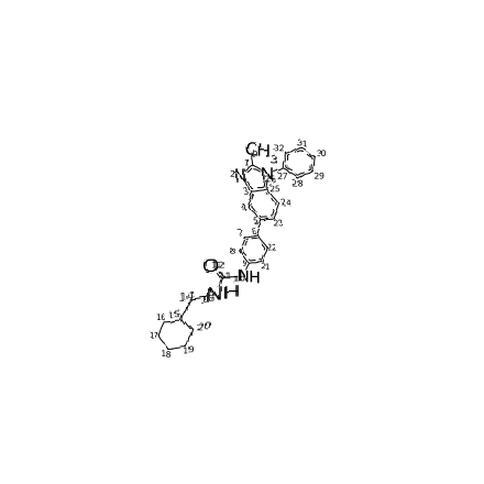 Cc1nc2cc(-c3ccc(NC(=O)NCC4CCCCC4)cc3)ccc2n1-c1ccccc1